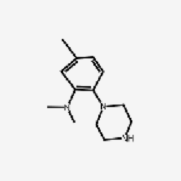 Cc1ccc(N2CCNCC2)c(N(C)C)c1